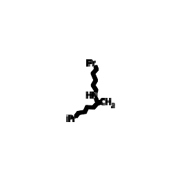 C=C(CCCCC(C)C)NCCCCCC(C)C